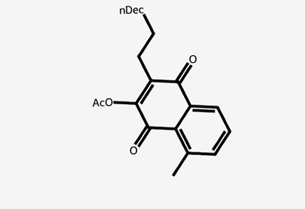 CCCCCCCCCCCCC1=C(OC(C)=O)C(=O)c2c(C)cccc2C1=O